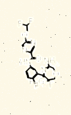 CC1(c2cc(NC(=O)c3cnc(OCC(F)F)cn3)ccc2F)N=C(N)COCC1(F)F